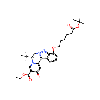 CCOC(=O)c1cn2c(cc1=O)-c1c3cccc(OCCCCCC(=O)OC(C)(C)C)c3nn1C[C@H]2C(C)(C)C